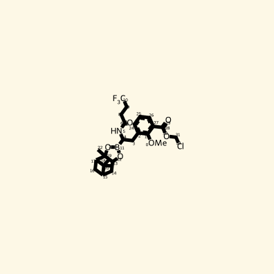 COc1c(CC(NC(=O)CCC(F)(F)F)B2OC3CC4CC(C4(C)C)C3(C)O2)cccc1C(=O)OCCl